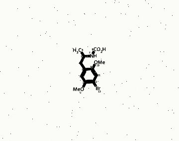 COc1cc(CC(C)NC(=O)O)c(OC)cc1Br